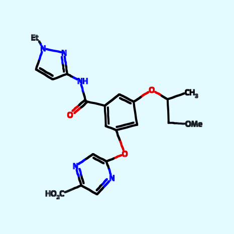 CCn1ccc(NC(=O)c2cc(Oc3cnc(C(=O)O)cn3)cc(OC(C)COC)c2)n1